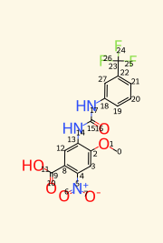 COc1cc([N+](=O)[O-])c(C(=O)O)cc1NC(=O)Nc1cccc(C(F)(F)F)c1